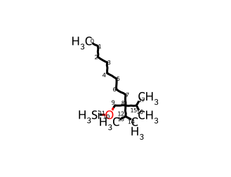 CCCCCCCCC(CO[SiH3])(C(C)C)C(C)C